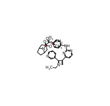 CC[N+]1=C(c2cccnc2)C(c2ccnc(Nc3ccc(C(=O)N4CC5CCC(C4)N5C(=O)OC(C)(C)C)cc3)n2)=C1